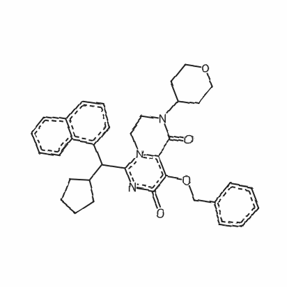 O=C1c2c(OCc3ccccc3)c(=O)nc(C(c3cccc4ccccc34)C3CCCC3)n2CCN1C1CCOCC1